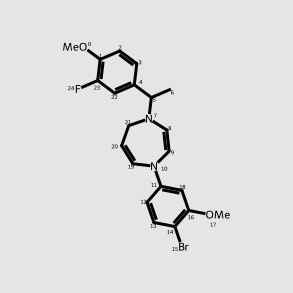 COc1ccc(C(C)N2C=CN(c3ccc(Br)c(OC)c3)C=CC2)cc1F